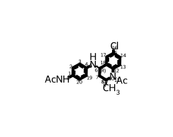 CC(=O)Nc1ccc(N[C@@H]2C[C@H](C)N(C(C)=O)c3ccc(Cl)cc32)cc1